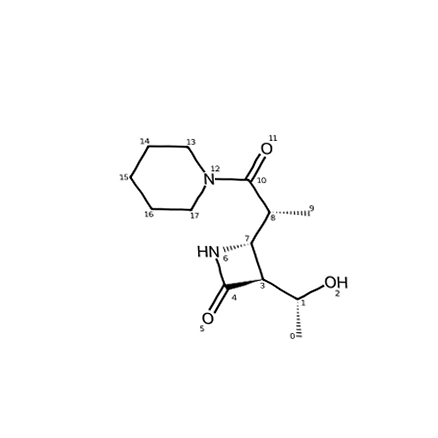 C[C@@H](O)[C@H]1C(=O)N[C@@H]1[C@@H](C)C(=O)N1CCCCC1